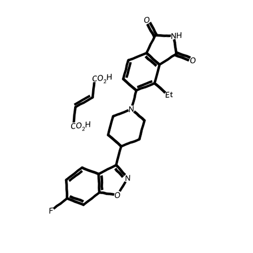 CCc1c(N2CCC(c3noc4cc(F)ccc34)CC2)ccc2c1C(=O)NC2=O.O=C(O)C=CC(=O)O